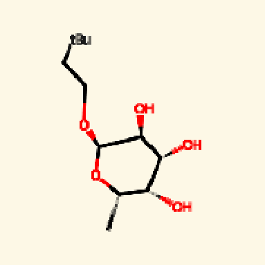 C[C@@H]1O[C@@H](OCCC(C)(C)C)[C@@H](O)[C@H](O)[C@@H]1O